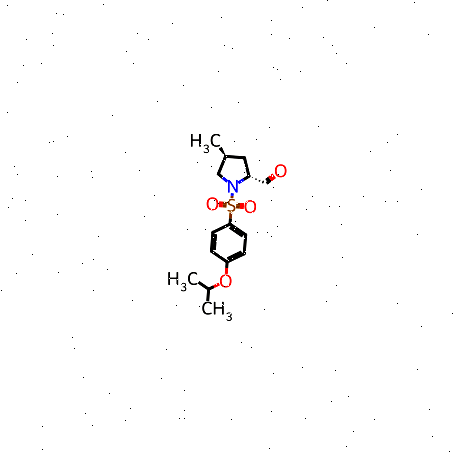 CC(C)Oc1ccc(S(=O)(=O)N2C[C@@H](C)C[C@@H]2C=O)cc1